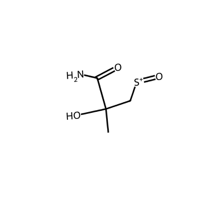 CC(O)(C[S+]=O)C(N)=O